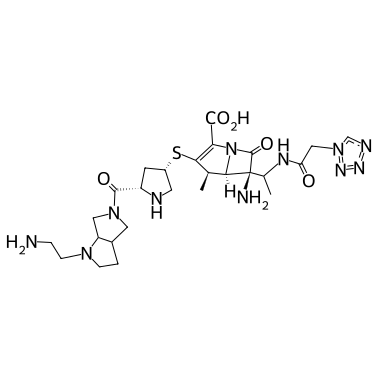 CC(NC(=O)Cn1cnnn1)[C@@]1(N)C(=O)N2C(C(=O)O)=C(S[C@@H]3CN[C@H](C(=O)N4CC5CCN(CCN)C5C4)C3)[C@H](C)[C@@H]21